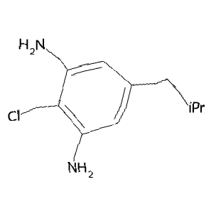 CC(C)Cc1cc(N)c(Cl)c(N)c1